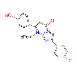 CCCCCn1c(-c2ccc(O)cc2)cc(=O)n2cc(-c3ccc(Cl)cc3)nc12